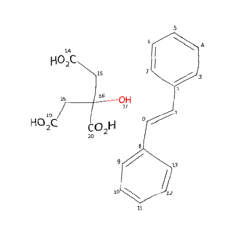 C(=Cc1ccccc1)c1ccccc1.O=C(O)CC(O)(CC(=O)O)C(=O)O